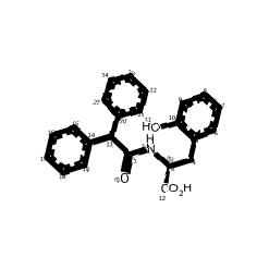 O=C(N[C@@H](Cc1ccccc1O)C(=O)O)C(c1ccccc1)c1ccccc1